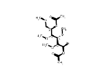 [2H]C(OC(C)=O)[C@@H](OC)[C@@H](OC)[C@H](OC)[C@@H](COC)OC(C)=O